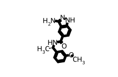 COc1cccc([C@H](C)NC(=O)c2ccc3[nH]nc(N)c3c2)c1